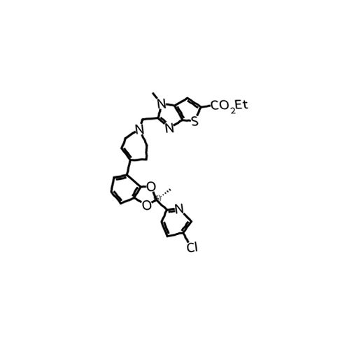 CCOC(=O)c1cc2c(nc(CN3CC=C(c4cccc5c4O[C@@](C)(c4ccc(Cl)cn4)O5)CC3)n2C)s1